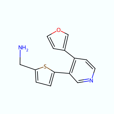 NCc1ccc(-c2cnccc2-c2ccoc2)s1